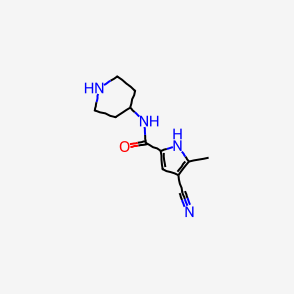 Cc1[nH]c(C(=O)NC2CCNCC2)cc1C#N